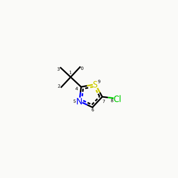 CC(C)(C)c1ncc(Cl)s1